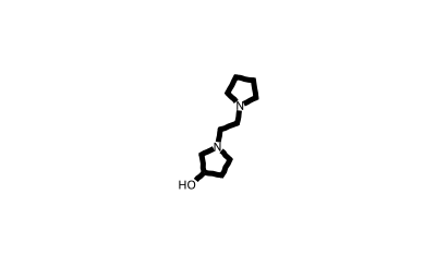 OC1CCN(CCN2CCCC2)C1